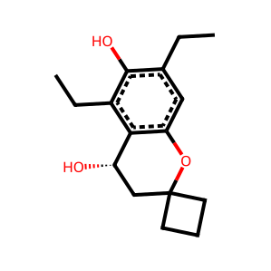 CCc1cc2c(c(CC)c1O)[C@@H](O)CC1(CCC1)O2